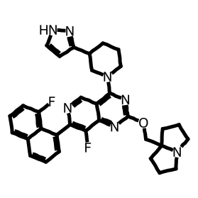 Fc1c(-c2cccc3cccc(F)c23)ncc2c(N3CCCC(c4cc[nH]n4)C3)nc(OCC34CCCN3CCC4)nc12